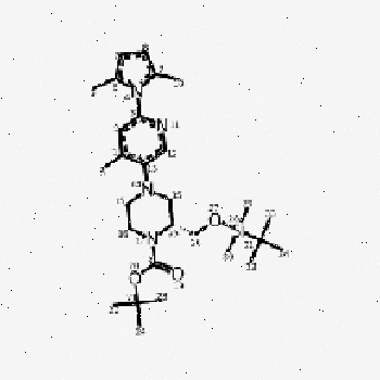 Cc1cc(-n2c(C)ccc2C)ncc1N1CCN(C(=O)OC(C)(C)C)[C@@H](CO[Si](C)(C)C(C)(C)C)C1